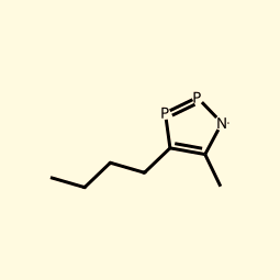 CCCCC1=C(C)[N]P=P1